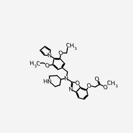 CCOc1cc(CN(c2nc3cccc(OCC(=O)OC)c3o2)C2CCNCC2)cc(OCC)c1-n1cccc1